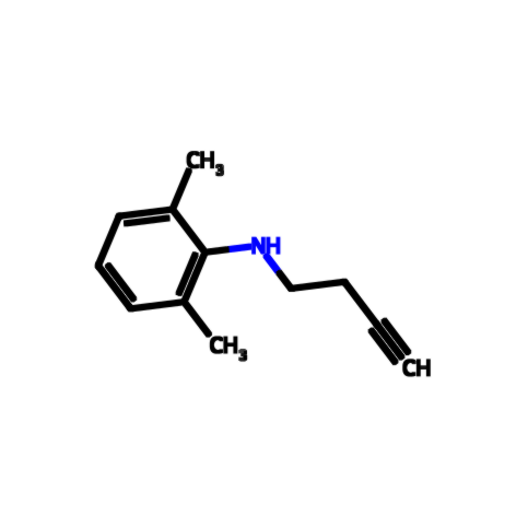 C#CCCNc1c(C)cccc1C